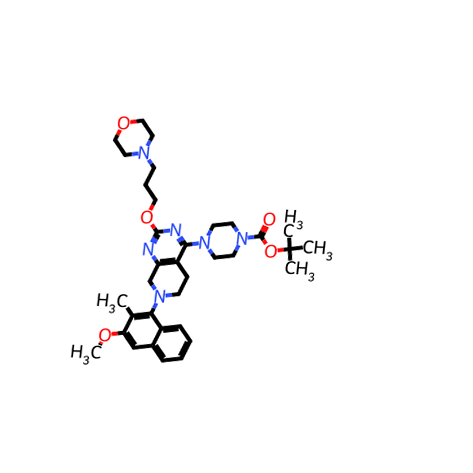 COc1cc2ccccc2c(N2CCc3c(nc(OCCCN4CCOCC4)nc3N3CCN(C(=O)OC(C)(C)C)CC3)C2)c1C